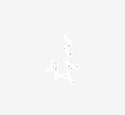 CNCC(C)N(C)CCCOC